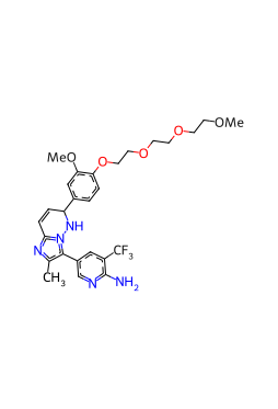 COCCOCCOCCOc1ccc(C2C=Cc3nc(C)c(-c4cnc(N)c(C(F)(F)F)c4)n3N2)cc1OC